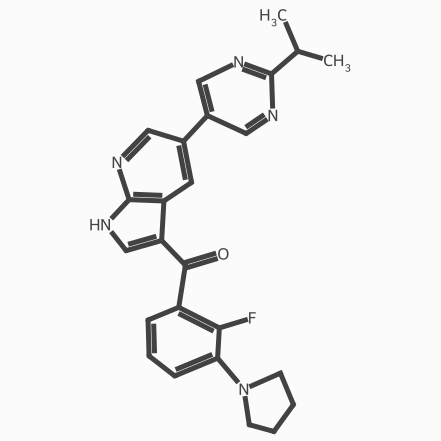 CC(C)c1ncc(-c2cnc3[nH]cc(C(=O)c4cccc(N5CCCC5)c4F)c3c2)cn1